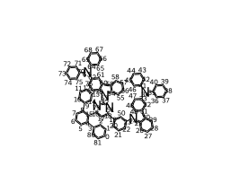 c1ccc(-c2cccc(-c3ccccc3)c2-c2cc(-c3cccc(-n4c5ccccc5c5cc(N(c6ccccc6)c6ccccc6)ccc54)c3)nc(-n3c4ccccc4c4cc(N(c5ccccc5)c5ccccc5)ccc43)n2)cc1